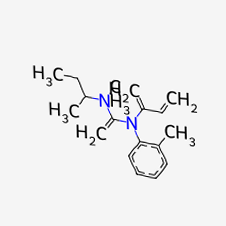 C=CC(=C)N(C(=C)N(C)C(C)CC)c1ccccc1C